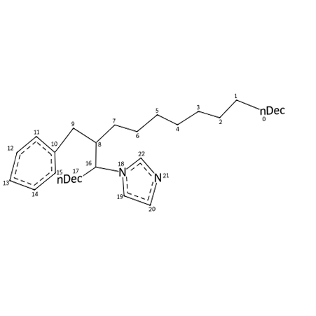 CCCCCCCCCCCCCCCCCC(Cc1ccccc1)C(CCCCCCCCCC)n1ccnc1